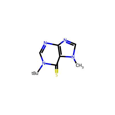 Cn1cnc2ncn(C(C)(C)C)c(=S)c21